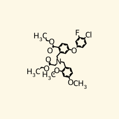 CCOC(=O)CN(Cc1ccc(OC)cc1OC)Cc1cc(Oc2ccc(Cl)c(F)c2)ccc1C(=O)OCC